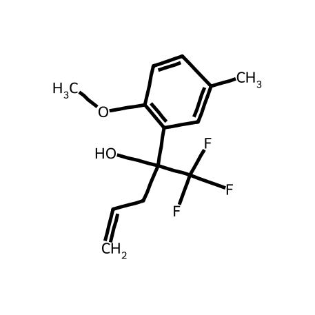 C=CCC(O)(c1cc(C)ccc1OC)C(F)(F)F